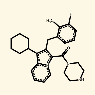 Cc1c(F)cccc1Cc1c(C2CCCCC2)c2ccccn2c1C(=O)N1CCNCC1